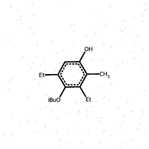 CCc1cc(O)c(C)c(CC)c1OCC(C)C